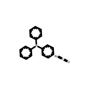 O=[C]=[Ru].c1ccc(P(c2ccccc2)c2ccccc2)cc1